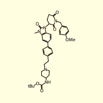 COc1ccc(CN2C(=O)CCC(n3c(=O)n(C)c4cc(-c5ccc(CCN6CCC(NC(=O)OC(C)(C)C)CC6)cc5)ccc43)C2=O)cc1